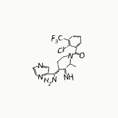 CC1C(=N)/C(=C(\N)c2cnccn2)CCN1C(=O)c1cccc(C(F)(F)F)c1Cl